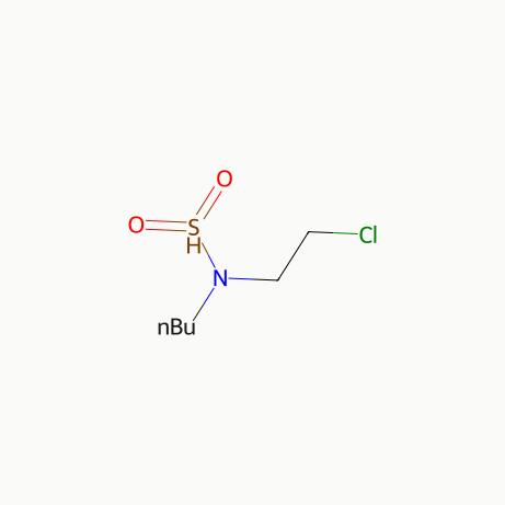 CCCCN(CCCl)[SH](=O)=O